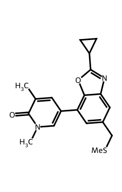 CSCc1cc(-c2cc(C)c(=O)n(C)c2)c2oc(C3CC3)nc2c1